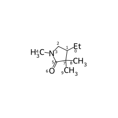 CCC1CN(C)C(=O)C1(C)C